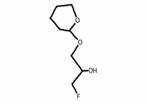 OC(CF)COC1CCCCO1